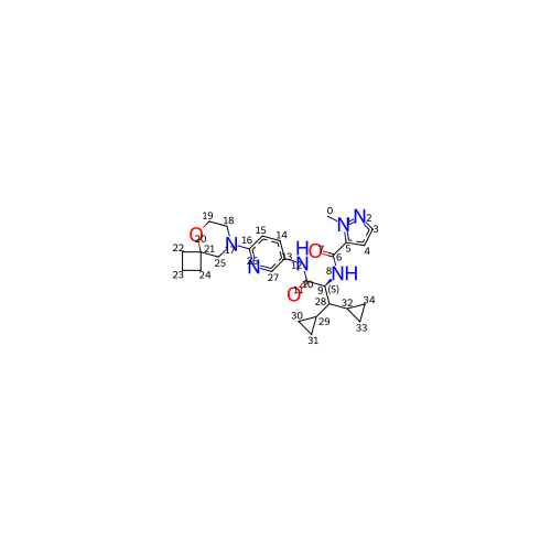 Cn1nccc1C(=O)N[C@H](C(=O)Nc1ccc(N2CCOC3(CCC3)C2)nc1)C(C1CC1)C1CC1